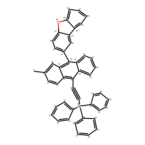 Cc1ccc2c(C#C[Si](c3ccccc3)(c3ccccc3)c3ccccc3)c3ccccc3c(-c3ccc4oc5ccccc5c4c3)c2c1